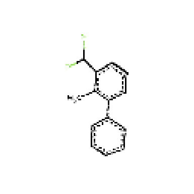 Cc1c([C](F)F)cccc1-c1ccccc1